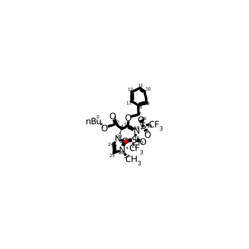 CCCCOC(=O)[C@H](C(OCc1ccccc1)=[N+](S(=O)(=O)C(F)(F)F)S(=O)(=O)C(F)(F)F)n1cc[n+](C)c1